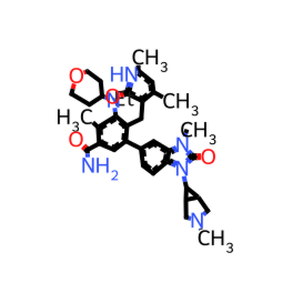 CCN(c1c(C)c(C(N)=O)cc(-c2ccc3c(c2)n(C)c(=O)n3C2C3CN(C)CC32)c1Cc1c(C)cc(C)[nH]c1=O)C1CCOCC1